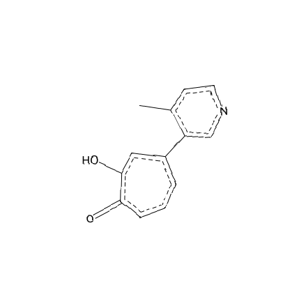 Cc1ccncc1-c1cccc(=O)c(O)c1